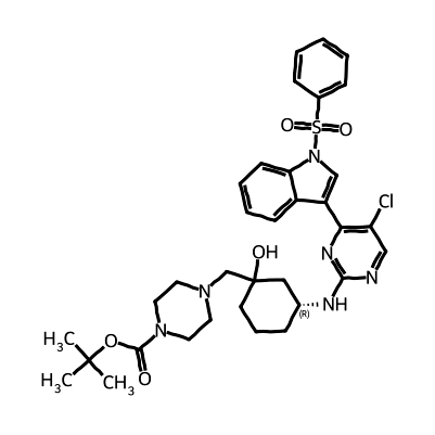 CC(C)(C)OC(=O)N1CCN(CC2(O)CCC[C@@H](Nc3ncc(Cl)c(-c4cn(S(=O)(=O)c5ccccc5)c5ccccc45)n3)C2)CC1